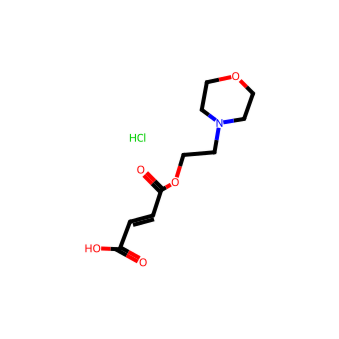 Cl.O=C(O)/C=C/C(=O)OCCN1CCOCC1